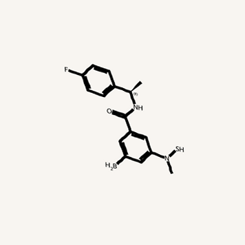 Bc1cc(C(=O)N[C@H](C)c2ccc(F)cc2)cc(N(C)S)c1